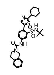 CC(C)(C)NS(=O)(=O)c1cc(NC(=O)N2CCc3ccccc3C2)ccc1-c1cnc(C2CCCCC2)s1